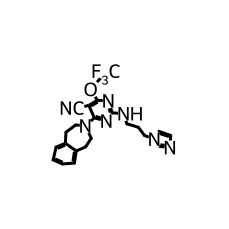 N#Cc1c(OCC(F)(F)F)nc(NCCCn2ccnc2)nc1N1CCc2ccccc2CC1